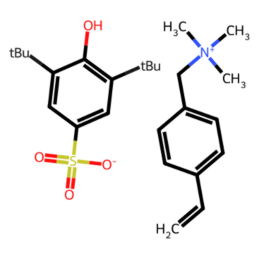 C=Cc1ccc(C[N+](C)(C)C)cc1.CC(C)(C)c1cc(S(=O)(=O)[O-])cc(C(C)(C)C)c1O